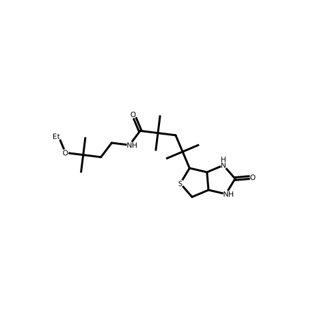 CCOC(C)(C)CCNC(=O)C(C)(C)CC(C)(C)C1SCC2NC(=O)NC21